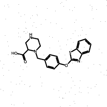 O=C(O)C1CNCCN1Cc1ccc(Oc2nc3ccccc3s2)cc1